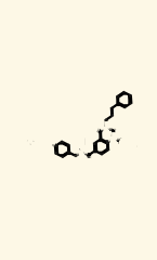 COc1ccc(CNC(=O)c2ccc3c(c2)c(=O)n(CCCc2ccccc2)c(=O)n3C)cc1